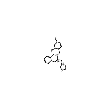 Fc1ccc(CN2Cc3ccccc3C[C@H]2Cn2ccnc2)c(F)c1